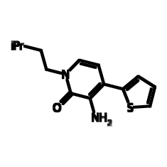 CC(C)CCn1ccc(-c2cccs2)c(N)c1=O